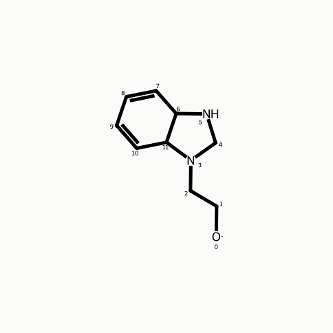 [O]CCN1CNC2C=CC=CC21